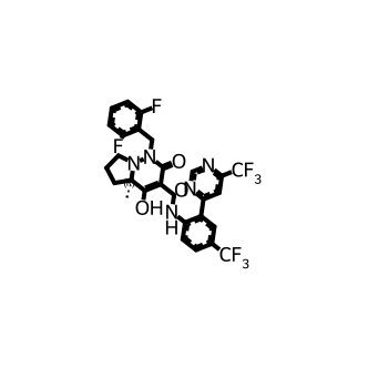 C[C@]12CCCN1N(Cc1c(F)cccc1F)C(=O)C(C(=O)Nc1ccc(C(F)(F)F)cc1-c1cc(C(F)(F)F)ncn1)=C2O